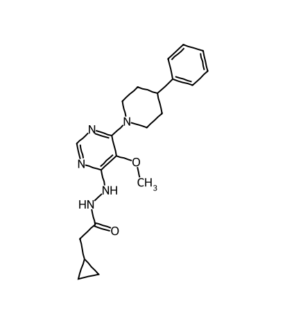 COc1c(NNC(=O)CC2CC2)ncnc1N1CCC(c2ccccc2)CC1